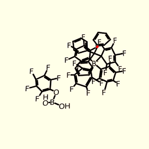 FC1=C(F)C(F)C([B-](c2c(F)c(F)c(F)c(F)c2F)(c2c(F)c(F)c(F)c(F)c2F)c2c(F)c(F)c(F)c(F)c2F)(C(c2ccccc2)(c2ccccc2)c2ccccc2)C(F)=C1F.OB(O)Oc1c(F)c(F)c(F)c(F)c1F